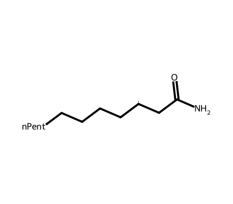 CCCCCCCCC[CH]CC(N)=O